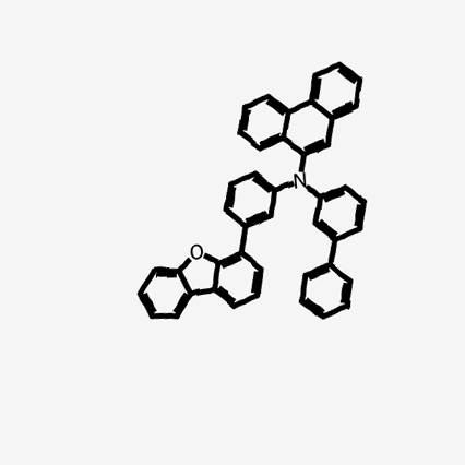 c1ccc(-c2cccc(N(c3cccc(-c4cccc5c4oc4ccccc45)c3)c3cc4ccccc4c4ccccc34)c2)cc1